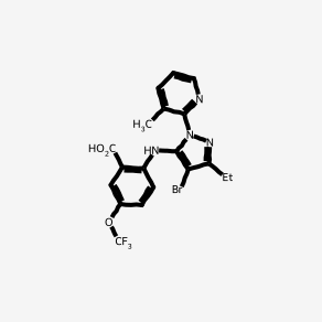 CCc1nn(-c2ncccc2C)c(Nc2ccc(OC(F)(F)F)cc2C(=O)O)c1Br